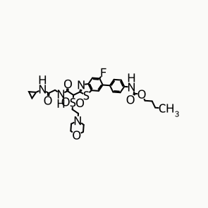 CCCCOC(=O)Nc1ccc(-c2cc3sc(C(C(=O)NCC(=O)NC4CC4)S(=O)(=O)CCN4CCOCC4)nc3cc2F)cc1